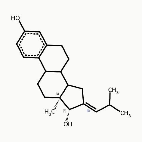 CC(C)/C=C1\CC2C3CCc4cc(O)ccc4C3CC[C@]2(C)[C@H]1O